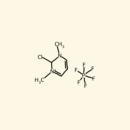 CN1C=CC=[N+](C)C1Cl.F[P-](F)(F)(F)(F)F